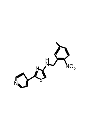 Cc1ccc([N+](=O)[O-])c(CNc2csc(-c3ccncc3)n2)c1